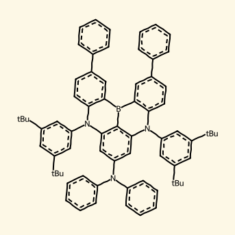 CC(C)(C)c1cc(N2c3ccc(-c4ccccc4)cc3B3c4cc(-c5ccccc5)ccc4N(c4cc(C(C)(C)C)cc(C(C)(C)C)c4)c4cc(N(c5ccccc5)c5ccccc5)cc2c43)cc(C(C)(C)C)c1